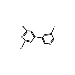 Fc1cncc(-c2cc(Cl)nc(Cl)c2)c1